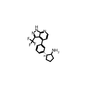 NC1CCC[C@@H]1c1cccc(-c2ccnc3[nH]nc(C(F)(F)F)c23)c1